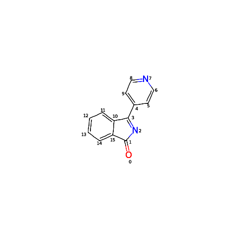 O=C1N=C(c2ccncc2)c2ccccc21